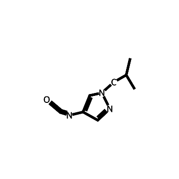 CC(C)Cn1cc(N=C=O)cn1